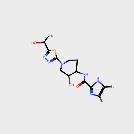 CCc1[nH]c(C(=O)NC2CCN(c3nnc(C(C)O)s3)CC2O)nc1Cl